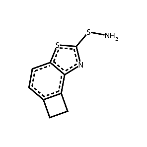 NSc1nc2c3c(ccc2s1)CC3